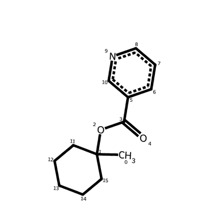 CC1(OC(=O)c2cccnc2)CCCCC1